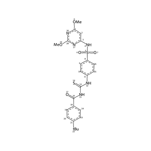 COc1cc(NS(=O)(=O)c2ccc(NC(=S)NC(=O)c3ccc(C(C)(C)C)cc3)cc2)nc(OC)n1